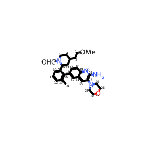 COCCC1CCN(C=O)C(c2cccc(C)c2-c2ccc3nc(N)c(N4CCOCC4)cc3c2)C1